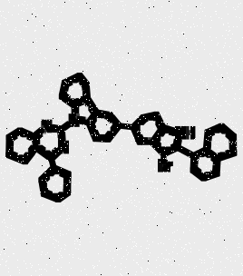 Brc1c(-c2cccc3ccccc23)[nH]c2ccc(-c3ccc4c(c3)c3ccccc3n4-c3nc(-c4ccccc4)c4ccccc4n3)cc12